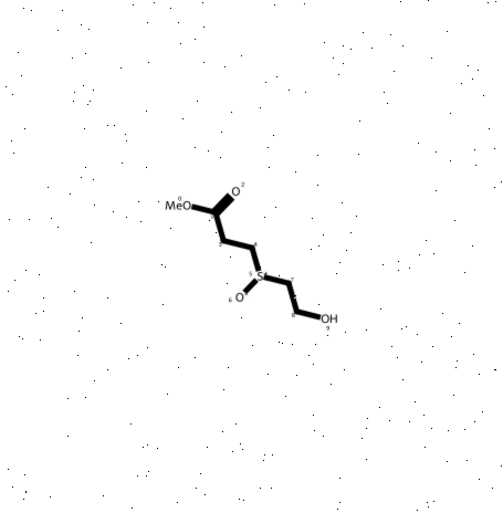 COC(=O)CC[S+]([O-])CCO